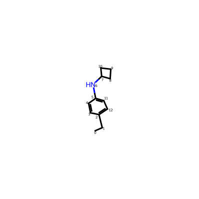 CCc1ccc(NC2CCC2)cc1